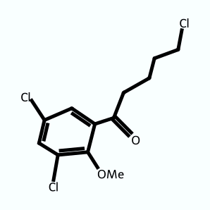 COc1c(Cl)cc(Cl)cc1C(=O)CCCCCl